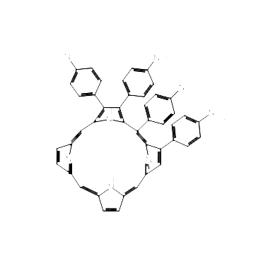 O=[N+]([O-])c1ccc(C2=Cc3cc4ccc(cc5nc(cc6[nH]c(c(-c7ccc([N+](=O)[O-])cc7)c2n3)c(-c2ccc([N+](=O)[O-])cc2)c6-c2ccc([N+](=O)[O-])cc2)C=C5)[nH]4)cc1